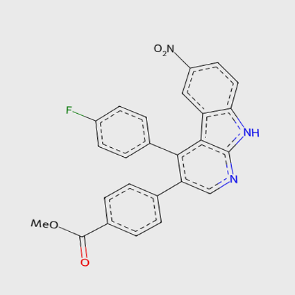 COC(=O)c1ccc(-c2cnc3[nH]c4ccc([N+](=O)[O-])cc4c3c2-c2ccc(F)cc2)cc1